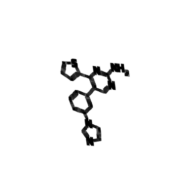 Nc1ncc(-c2cccc(-n3ccnc3)c2)c(-c2cccs2)n1